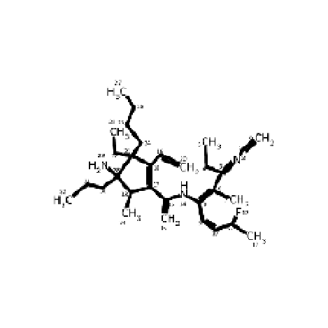 C=C/N=C(CC)/C(C)=C(/C=C\C(C)F)NC(=C)C1=C(C=C)C(CC)(CCCC)C(N)(CCC)C1C